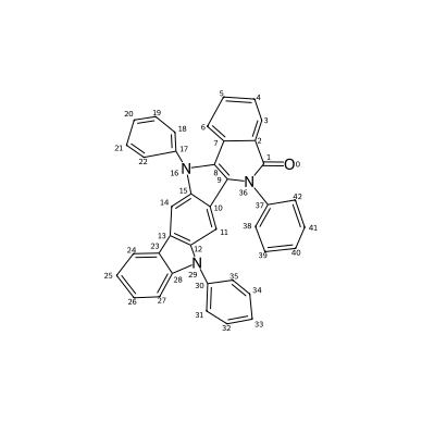 O=c1c2ccccc2c2c(c3cc4c(cc3n2-c2ccccc2)c2ccccc2n4-c2ccccc2)n1-c1ccccc1